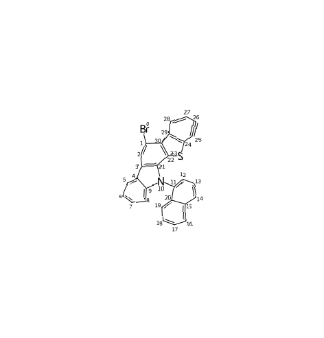 Brc1cc2c3ccccc3n(-c3cccc4ccccc34)c2c2sc3c#cccc3c12